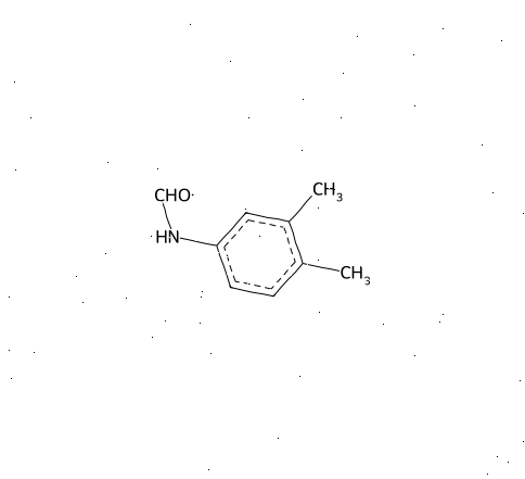 Cc1ccc(N[C]=O)cc1C